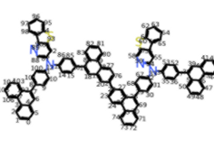 c1ccc2c(c1)cc(-c1ccc(N(c3ccc(-c4cc5cc(-c6ccc7c(c6)c(-c6ccc(N(c8ccc(-c9cc%10ccccc%10c%10ccccc9%10)cc8)c8cc9c(cn8)sc8ccccc89)cc6)cc6ccccc67)ccc5c5ccccc45)cc3)c3cnc4c(c3)sc3ccccc34)cc1)c1ccccc12